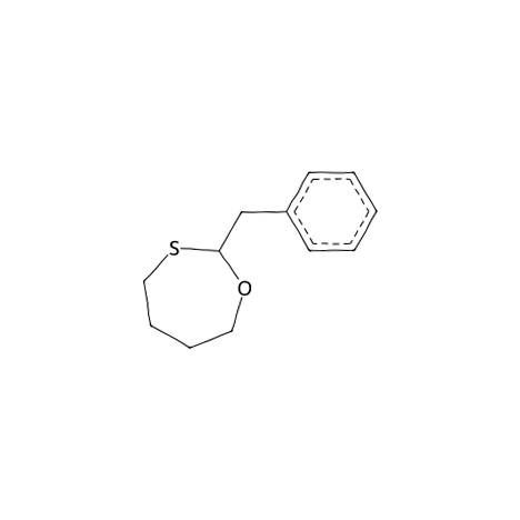 c1ccc(CC2OCCCCS2)cc1